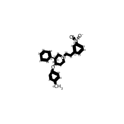 Cc1ccc(O[C@@H]2CCN(CCc3cccc([N+](=O)[O-])c3)C[C@@H]2c2ccccc2)cc1